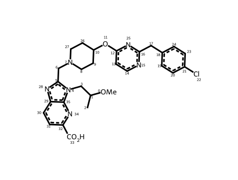 COC(C)Cn1c(CN2CCC(Oc3ccnc(Cc4ccc(Cl)cc4)n3)CC2)nc2ccc(C(=O)O)nc21